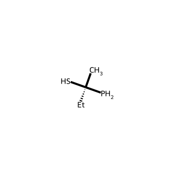 CC[C@](C)(P)S